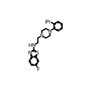 CC(C)c1ccccc1N1CCN(CCNc2nc3ccc(F)cc3s2)CC1